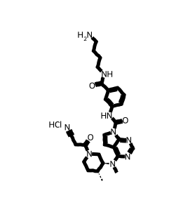 C[C@@H]1CCN(C(=O)CC#N)C[C@@H]1N(C)c1ncnc2c1ccn2C(=O)Nc1cccc(C(=O)NCCCCN)c1.Cl